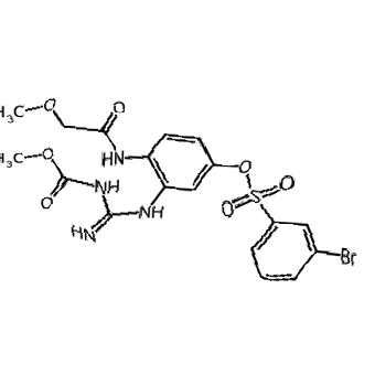 COCC(=O)Nc1ccc(OS(=O)(=O)c2cccc(Br)c2)cc1NC(=N)NC(=O)OC